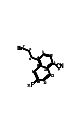 N#Cc1[c]cc(CCBr)c2cc(F)ccc12